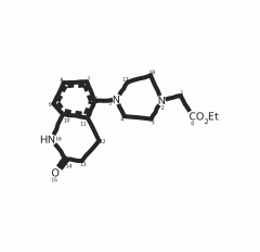 CCOC(=O)CN1CCN(c2cccc3c2CCC(=O)N3)CC1